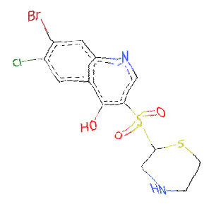 O=S(=O)(c1cnc2cc(Br)c(Cl)cc2c1O)C1CNCCS1